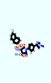 Cn1cnc(-c2ccc(N3CC[C@H](NS(=O)(=O)c4ccc5cc(Cl)ccc5c4)C3=O)c(F)c2)c1.O=CO